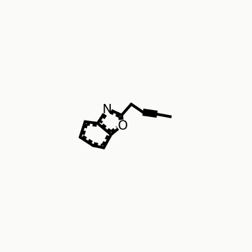 CC#CCc1nc2ccccc2o1